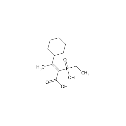 CCP(=O)(O)C(C(=O)O)=C(C)C1CCCCC1